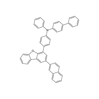 c1ccc(-c2ccc(N(c3ccccc3)c3ccc(-c4cc(-c5ccc6ccccc6c5)cc5c4oc4ccccc45)cc3)cc2)cc1